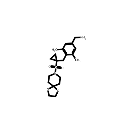 Cc1cc(CN)cc(C)c1CC1(S(=O)(=O)N2CCC3(CC2)OCCO3)CC1